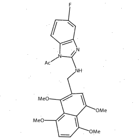 COc1ccc(OC)c2c(OC)c(CNc3nc4cc(F)ccc4n3C(C)=O)cc(OC)c12